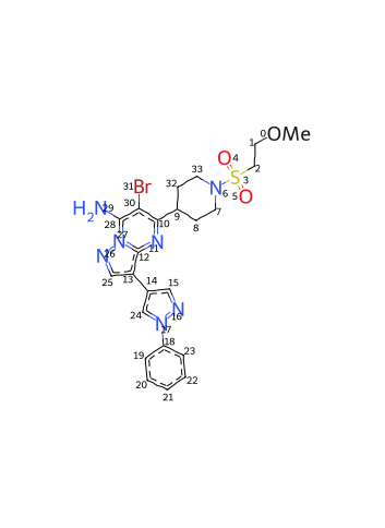 COCCS(=O)(=O)N1CCC(c2nc3c(-c4cnn(-c5ccccc5)c4)cnn3c(N)c2Br)CC1